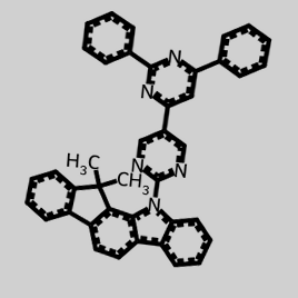 CC1(C)c2ccccc2-c2ccc3c4ccccc4n(-c4ncc(-c5cc(-c6ccccc6)nc(-c6ccccc6)n5)cn4)c3c21